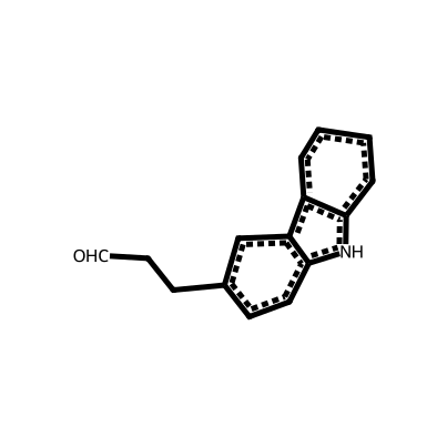 O=CCCc1ccc2[nH]c3ccccc3c2c1